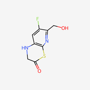 O=C1CNc2cc(F)c(CO)nc2S1